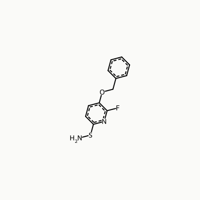 NSc1ccc(OCc2ccccc2)c(F)n1